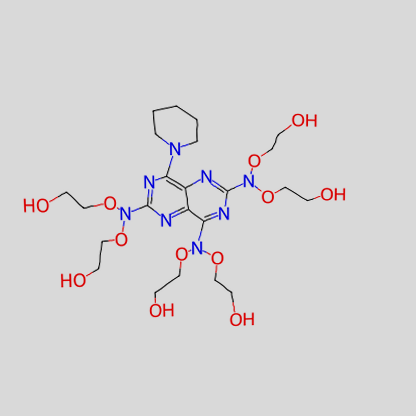 OCCON(OCCO)c1nc(N(OCCO)OCCO)c2nc(N(OCCO)OCCO)nc(N3CCCCC3)c2n1